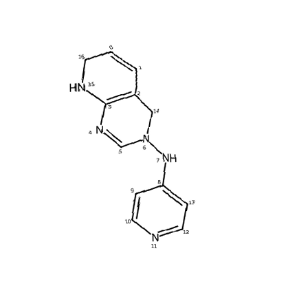 C1=CC2=C(N=CN(Nc3ccncc3)C2)NC1